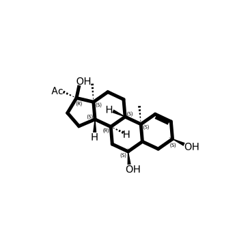 CC(=O)[C@@]1(O)CC[C@H]2[C@@H]3C[C@H](O)C4C[C@H](O)C=C[C@]4(C)[C@H]3CC[C@@]21C